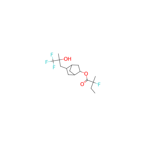 CCC(C)(F)C(=O)OC1CC2CC1CC2CC(C)(O)C(F)(F)F